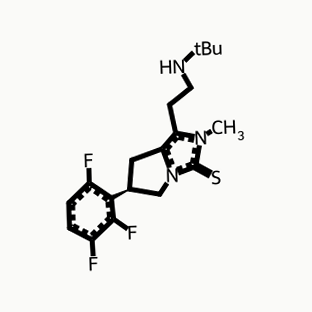 Cn1c(CCNC(C)(C)C)c2n(c1=S)C[C@@H](c1c(F)ccc(F)c1F)C2